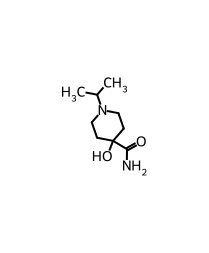 CC(C)N1CCC(O)(C(N)=O)CC1